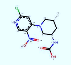 C[C@@H]1C[C@H](NC(=O)O)CN(c2cc(Cl)ncc2[N+](=O)[O-])C1